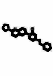 O=c1cc(OCc2ccccc2)ccn1-c1ccc2nc(N3CCCC3)ccc2c1